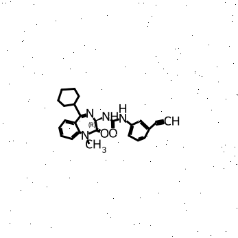 C#Cc1cccc(NC(=O)N[C@@H]2N=C(C3CCCCC3)c3ccccc3N(C)C2=O)c1